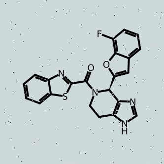 O=C(c1nc2ccccc2s1)N1CCc2[nH]cnc2[C@@H]1c1cc2cccc(F)c2o1